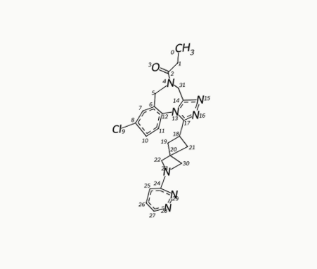 CCC(=O)N1Cc2cc(Cl)ccc2-n2c(nnc2C2CC3(C2)CN(c2cccnn2)C3)C1